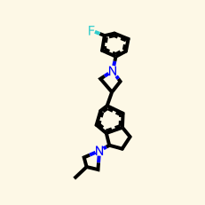 CC1CN(C2CCc3cc(C4CN(c5cccc(F)c5)C4)ccc32)C1